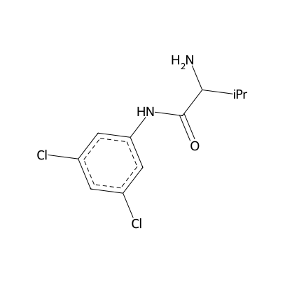 CC(C)C(N)C(=O)Nc1cc(Cl)cc(Cl)c1